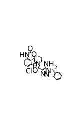 Nc1c(C(=O)N2CCC[C@@]3(C2)OC(=O)Nc2ccc(Cl)c(F)c23)nnn1Cc1ccccc1